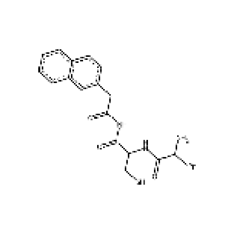 CC(C)C(N)C(=O)NC(CS)C(=O)NC(=O)Cc1ccc2ccccc2c1